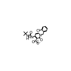 CC(C)(C)NC(=O)Nc1ccn(Cc2ccccc2Cl)c(=O)c1[N+](=O)[O-]